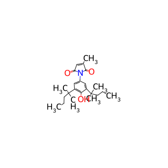 CCCC(C)(C)c1cc(N2C(=O)C=C(C)C2=O)cc(C(C)(C)CCC)c1O